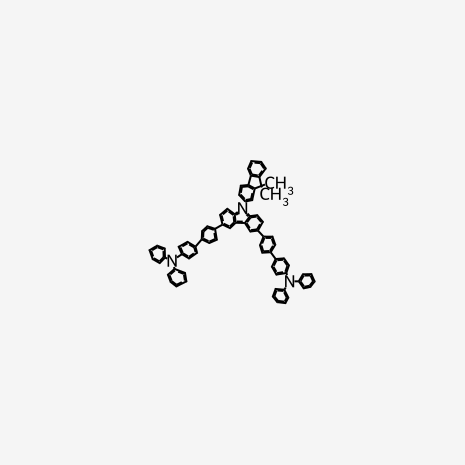 CC1(C)c2ccccc2-c2ccc(-n3c4ccc(-c5ccc(-c6ccc(N(c7ccccc7)c7ccccc7)cc6)cc5)cc4c4cc(-c5ccc(-c6ccc(N(c7ccccc7)c7ccccc7)cc6)cc5)ccc43)cc21